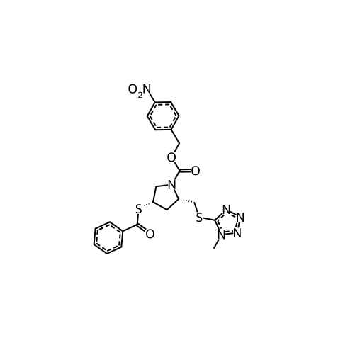 Cn1nnnc1SC[C@@H]1C[C@H](SC(=O)c2ccccc2)CN1C(=O)OCc1ccc([N+](=O)[O-])cc1